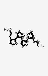 C=CCc1ccsc1-c1ccsc1-c1ccsc1-c1sccc1CC=C